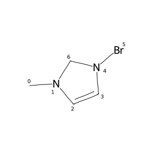 CN1C=CN(Br)C1